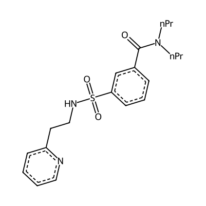 CCCN(CCC)C(=O)c1cccc(S(=O)(=O)NCCc2ccccn2)c1